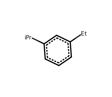 [CH2]Cc1cccc(C(C)C)c1